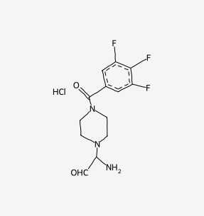 Cl.NC(C=O)N1CCN(C(=O)c2cc(F)c(F)c(F)c2)CC1